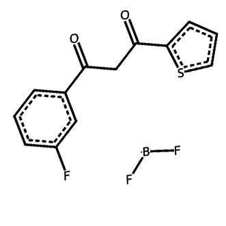 F[B]F.O=C(CC(=O)c1cccs1)c1cccc(F)c1